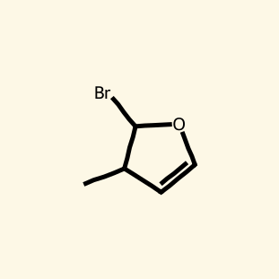 CC1C=COC1Br